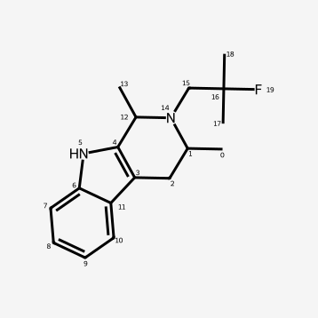 CC1Cc2c([nH]c3ccccc23)C(C)N1CC(C)(C)F